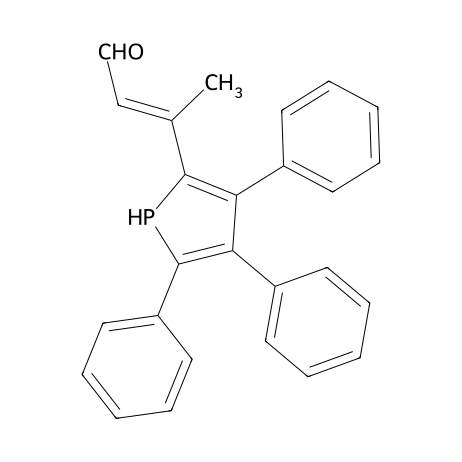 CC(=CC=O)c1[pH]c(-c2ccccc2)c(-c2ccccc2)c1-c1ccccc1